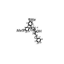 CSc1ccc(C(O)(C[C@H](C)NC(O)CCOc2ccccc2)c2ccc(SC)cc2)cc1